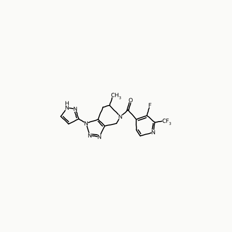 CC1Cc2c(nnn2-c2cc[nH]n2)CN1C(=O)c1ccnc(C(F)(F)F)c1F